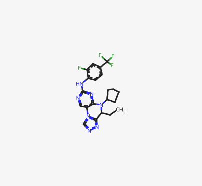 CCC1c2nncn2-c2cnc(Nc3ccc(C(F)(F)F)cc3F)nc2N1C1CCCC1